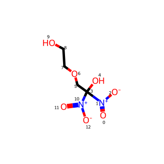 O=[N+]([O-])C(O)(COCCO)[N+](=O)[O-]